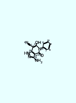 N#Cc1c(O)n(-c2ccccc2)c(=O)c2c(N)n[nH]c12